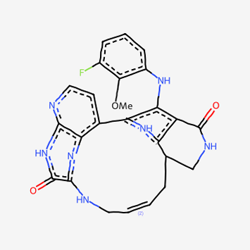 COc1c(F)cccc1Nc1c2[nH]c3c1C(=O)NCC3C/C=C\CNc1nc3c-2ccnc3[nH]c1=O